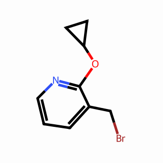 BrCc1cccnc1OC1CC1